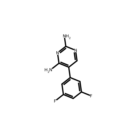 Nc1ncc(-c2cc(F)cc(F)c2)c(N)n1